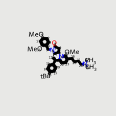 COc1ccc(CN2C(=O)CC[C@@H]2C=C(c2ccc(C(C)(C)C)cc2)c2ccc(CCCCN(C)C)c(OC)n2)c(OC)c1